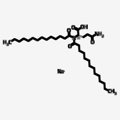 CCCCCCCCCCCCCC(=O)N(C(=O)CCCCCCCCCCCCC)[C@@H](CCC(N)=O)C(=O)O.[Na]